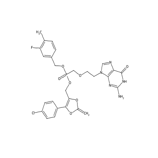 C=C1OC(COP(=O)(COCCn2cnc3c(=O)[nH]c(N)nc32)OCc2ccc(C)c(F)c2)=C(c2ccc(Cl)cc2)O1